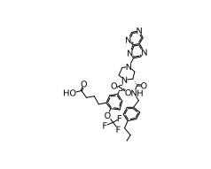 CCCc1ccc(CNC(=O)[C@H]2CN(c3cnc4cncnc4n3)CCN2S(=O)(=O)c2ccc(OC(F)(F)F)c(CCCC(=O)O)c2)cc1